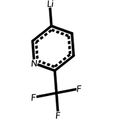 [Li][c]1ccc(C(F)(F)F)nc1